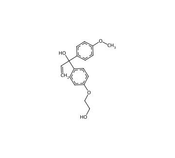 C=CC(O)(c1ccc(OC)cc1)c1ccc(OCCO)cc1